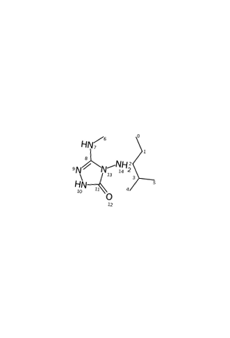 CCCC(C)C.CNc1n[nH]c(=O)n1N